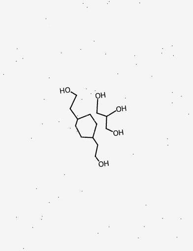 OCC(O)CO.OCCC1CCC(CCO)CC1